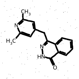 Cc1cc(Cc2n[nH]c(=O)c3ccccc23)cc(C)n1